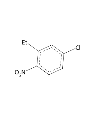 CCc1cc(Cl)c[c]c1[N+](=O)[O-]